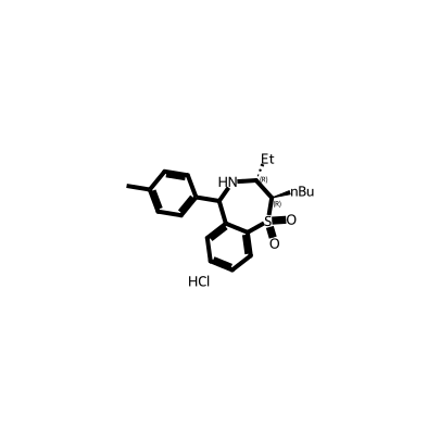 CCCC[C@@H]1[C@@H](CC)NC(c2ccc(C)cc2)c2ccccc2S1(=O)=O.Cl